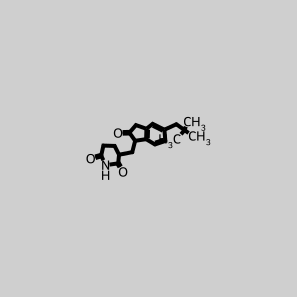 CC(C)(C)Cc1ccc2c(c1)CC(=O)C2CC1CCC(=O)NC1=O